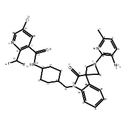 Cc1ccc(N)c(N2CC3(C2)C(=O)N(CC2CCC(NC(=O)c4cc(Cl)cnc4C(F)F)CC2)c2ccccc23)n1